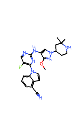 COc1nn(C2CCNC(C)(C)C2)cc1Nc1ncc(F)c(-n2ccc3c(C#N)cccc32)n1